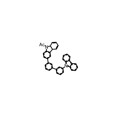 CC(=O)N1c2ccc(-c3cccc(-c4cccc(-n5c6ccccc6c6ccccc65)c4)c3)cc2C2C=CC=CC21